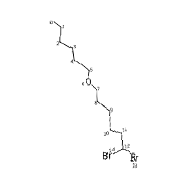 CCCCCCOCCCCCC(Br)Br